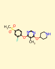 Cc1c(Oc2ccc(S(C)(=O)=O)cc2F)ncnc1OC1CCNCC1